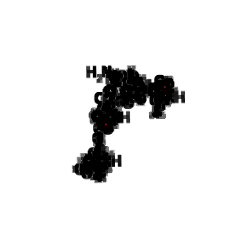 CC(c1ccc(Cl)c(Cl)c1)N1N=C(N)CC1=O.CCOC(=O)C1=C(C)NC(C)=C(C(=O)OC)C1c1cccc([N+](=O)[O-])c1.COC(=O)C1=C(C)NC(C)=C(C(=O)OC)C1c1ccccc1[N+](=O)[O-].COC(=O)C1=C(C)NC(C)=C(C(=O)OCC(C)C)C1c1ccccc1[N+](=O)[O-].COCCOC(=O)C1=C(C)NC(C)=C(C(=O)OC(C)C)C1c1cccc([N+](=O)[O-])c1